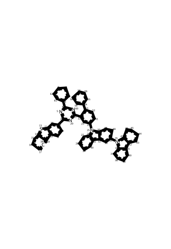 c1ccc(-c2nc(-c3ccc4c(c3)sc3ccccc34)nc(-c3cc(-n4c5ccccc5c5cc(-n6c7ccccc7c7ccccc76)ccc54)ccc3-c3ccccc3)n2)cc1